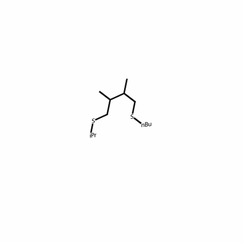 CCCCSCC(C)[C](C)CSC(C)C